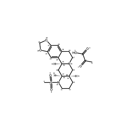 CC(=O)C(=O)O.CS(=O)(=O)N1CCC[C@@H]2CN3CCc4cc5c(cc4[C@@H]3C[C@@H]21)OCO5